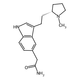 CN1CCC[C@H]1CCc1c[nH]c2ccc(CC(N)=O)cc12